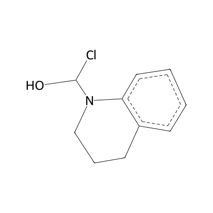 OC(Cl)N1CCCc2ccccc21